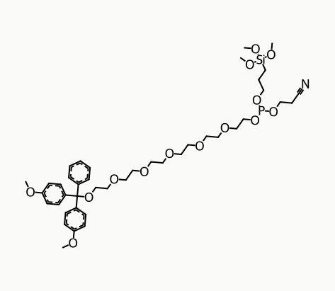 COc1ccc(C(OCCOCCOCCOCCOCCOCCOP(OCCC#N)OCCC[Si](OC)(OC)OC)(c2ccccc2)c2ccc(OC)cc2)cc1